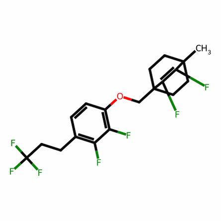 CC12CCC(COc3ccc(CCC(F)(F)F)c(F)c3F)(CC1)C(F)=C2F